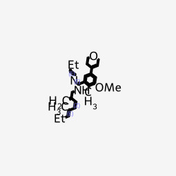 C=C(/C=C\C(C)=C\CC)CN/C(=N/C=C/CC)c1cc(C2=CCOCC2)cc(OC)c1C